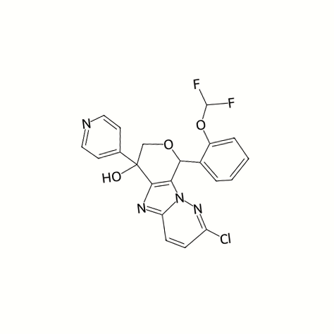 OC1(c2ccncc2)COC(c2ccccc2OC(F)F)c2c1nc1ccc(Cl)nn21